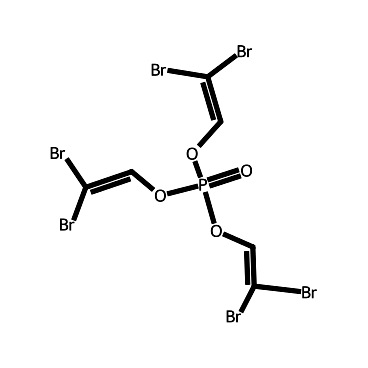 O=P(OC=C(Br)Br)(OC=C(Br)Br)OC=C(Br)Br